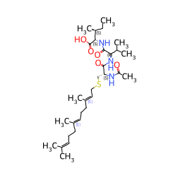 CC[C@H](C)[C@H](NC(=O)[C@H](NC(=O)[C@@H](CSC/C=C(\C)CC/C=C(\C)CCC=C(C)C)NC(C)=O)C(C)C)C(=O)O